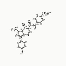 Cc1nn(-c2ccc(F)cc2)c2ncc(C(=O)Nc3ccc(OC(C)C)cc3)c(Cl)c12